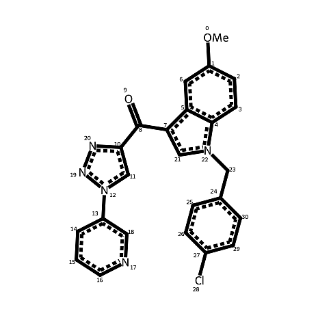 COc1ccc2c(c1)c(C(=O)c1cn(-c3cccnc3)nn1)cn2Cc1ccc(Cl)cc1